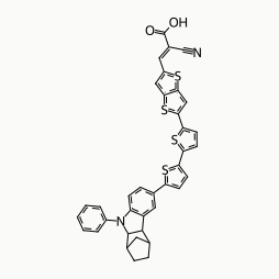 N#C/C(=C\c1cc2sc(-c3ccc(-c4ccc(-c5ccc6c(c5)C5C7CCC(C7)C5N6c5ccccc5)s4)s3)cc2s1)C(=O)O